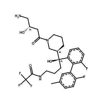 Cc1ccc(F)c(-c2c(F)cccc2[C@](O)(CCCNC(=O)C(F)(F)F)[C@@H]2CCCN(C(=O)C[C@H](O)CN)C2)c1